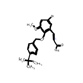 COc1cc(Br)cc(/C=C/C(=O)O)c1OCc1ccc(C(C)(C)C)cc1